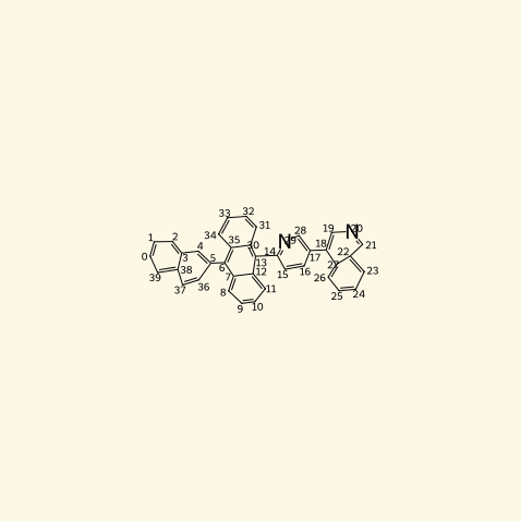 c1ccc2cc(-c3c4ccccc4c(-c4ccc(-c5cncc6ccccc56)cn4)c4ccccc34)ccc2c1